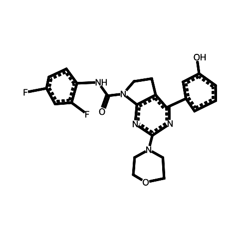 O=C(Nc1ccc(F)cc1F)N1CCc2c(-c3cccc(O)c3)nc(N3CCOCC3)nc21